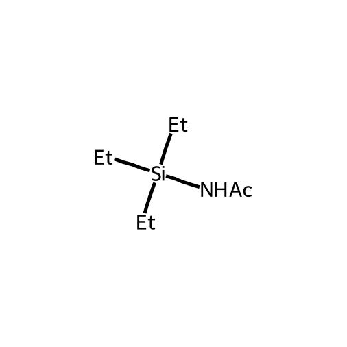 CC[Si](CC)(CC)NC(C)=O